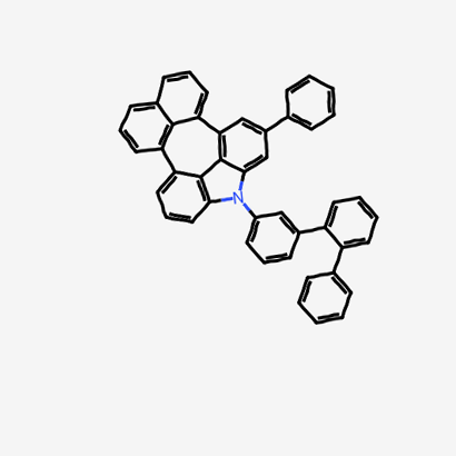 c1ccc(-c2cc3c4c5c(cccc5n(-c5cccc(-c6ccccc6-c6ccccc6)c5)c4c2)-c2cccc4cccc-3c24)cc1